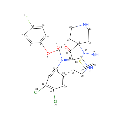 CN(C(=O)Oc1ccc(F)cc1)[C@@]1(C(=O)C2(N3NC=CS3)CCNCC2)CNC[C@@H]1c1ccc(Cl)c(Cl)c1